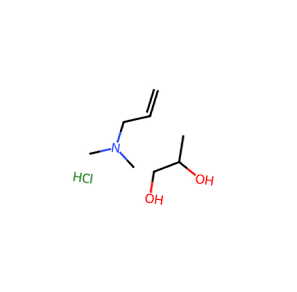 C=CCN(C)C.CC(O)CO.Cl